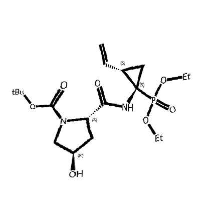 C=C[C@@H]1C[C@]1(NC(=O)[C@@H]1C[C@@H](O)CN1C(=O)OC(C)(C)C)P(=O)(OCC)OCC